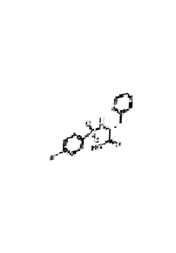 O=C(O)[C@@H](Cc1ccccc1)NS(=O)(=O)c1ccc(Br)cc1